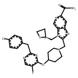 NC(=O)c1cc2nc(CN3CCC(Oc4nc(Cc5ccc(Cl)cc5)ncc4F)CC3)n(C[C@@H]3CCO3)c2cn1